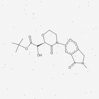 CN1Cc2ccc(N3CCO[C@H](C(O)C(=O)OC(C)(C)C)C3=O)cc2C1=O